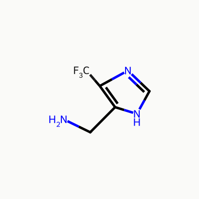 NCc1[nH]cnc1C(F)(F)F